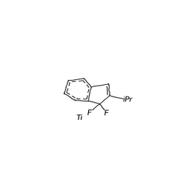 CC(C)C1=Cc2ccccc2C1(F)F.[Ti]